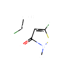 Cn1sc(Cl)cc1=O.O=C(O)CCl